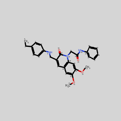 CCc1ccc(NCc2cc3cc(OC)c(OC)cc3n(CC(=O)Nc3ccccc3)c2=O)cc1